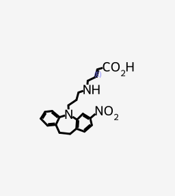 O=C(O)/C=C/CNCCCN1c2ccccc2CCc2ccc([N+](=O)[O-])cc21